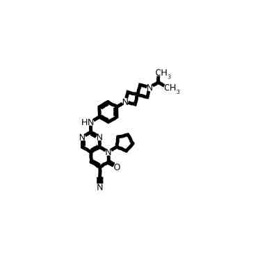 CC(C)N1CC2(CN(c3ccc(Nc4ncc5cc(C#N)c(=O)n(C6CCCC6)c5n4)cc3)C2)C1